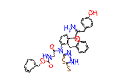 N[C@@H](Cc1ccc(O)cc1)C(=O)c1cccc(N(C(=O)CNC(=O)OCc2ccccc2)c2n[nH]c(=S)s2)c1Cc1ccccc1